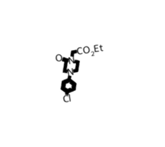 CCOC(=O)CN1CCN(c2ccc(Cl)cc2)CC1=O